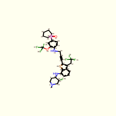 CN1CCC(Nc2cccc3c(CC(F)(F)F)c(C#CCNc4ccc(P5(=O)CCCCC5)cc4OC(F)(F)F)sc23)[C@@H](F)C1